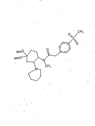 COC1(OC)CCC(N(C)C(=O)Cc2ccc(S(C)(=O)=O)cc2)C(N2CCCCC2)C1